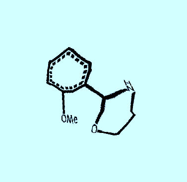 COc1ccccc1C1NCCO1